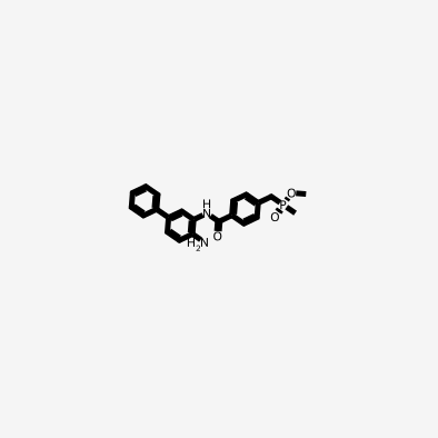 COP(C)(=O)Cc1ccc(C(=O)Nc2cc(-c3ccccc3)ccc2N)cc1